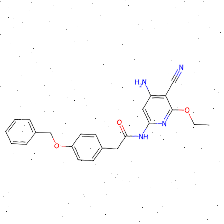 CCOc1nc(NC(=O)Cc2ccc(OCc3ccccc3)cc2)cc(N)c1C#N